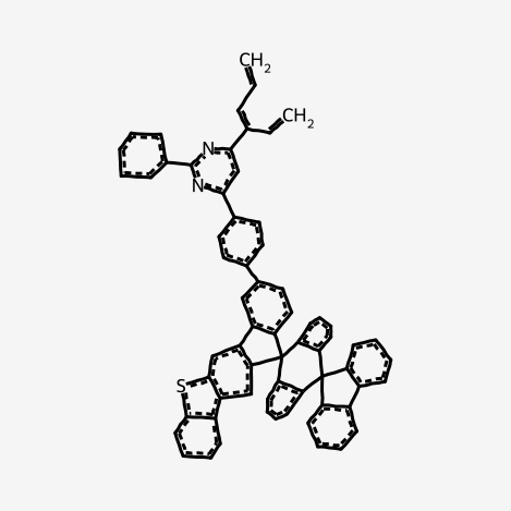 C=C/C=C(\C=C)c1cc(-c2ccc(-c3ccc4c(c3)-c3cc5sc6ccccc6c5cc3C43c4ccccc4C4(c5ccccc5-c5ccccc54)c4ccccc43)cc2)nc(-c2ccccc2)n1